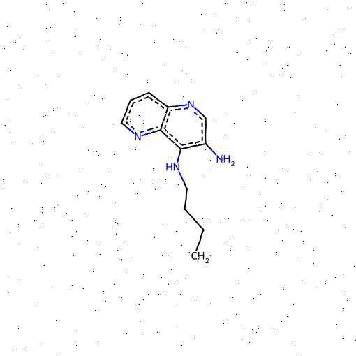 [CH2]CCCNc1c(N)cnc2cccnc12